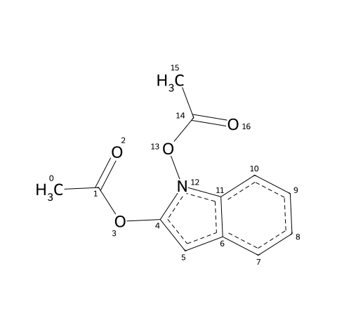 CC(=O)Oc1cc2ccccc2n1OC(C)=O